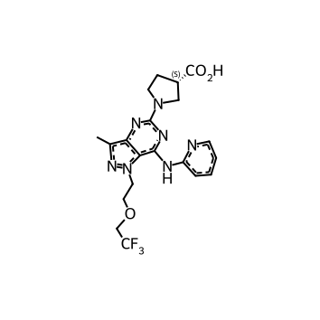 Cc1nn(CCOCC(F)(F)F)c2c(Nc3ccccn3)nc(N3CC[C@H](C(=O)O)C3)nc12